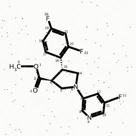 COC(=O)[C@@H]1CN(c2cncc(F)c2)C[C@H]1c1ccc(F)cc1F